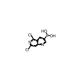 OB(O)c1cnc2cc(Cl)nc(Cl)c2c1